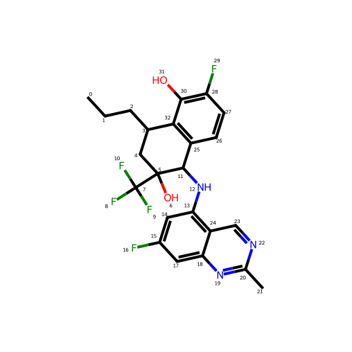 CCCC1CC(O)(C(F)(F)F)C(Nc2cc(F)cc3nc(C)ncc23)c2ccc(F)c(O)c21